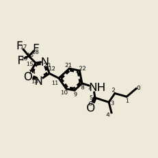 CCCC(C)C(=O)Nc1ccc(-c2noc(C(F)(F)F)n2)cc1